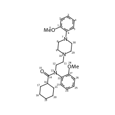 COc1ccccc1N1CCN(CCN(C(=O)C2CCCCC2)c2ccccc2OC)CC1